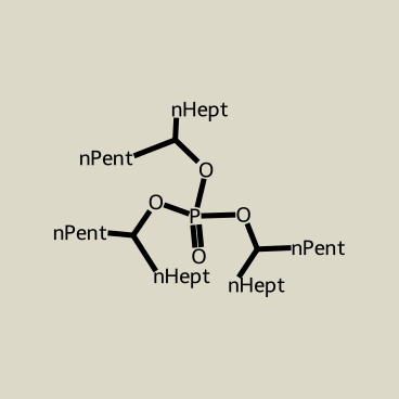 CCCCCCCC(CCCCC)OP(=O)(OC(CCCCC)CCCCCCC)OC(CCCCC)CCCCCCC